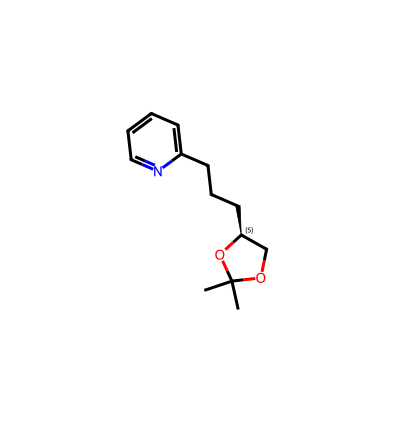 CC1(C)OC[C@H](CCCc2ccccn2)O1